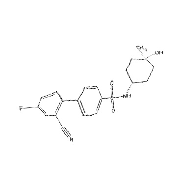 C[C@]1(O)CC[C@H](NS(=O)(=O)c2ccc(-c3ccc(F)cc3C#N)cc2)CC1